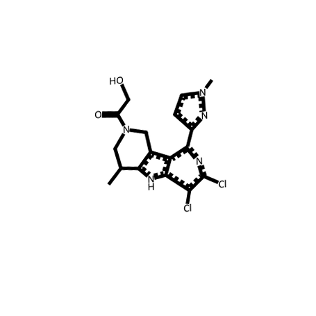 CC1CN(C(=O)CO)Cc2c1[nH]c1c(Cl)c(Cl)nc(-c3ccn(C)n3)c21